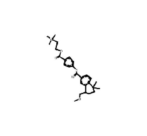 COCC1CCC(C)(C)c2ccc(C(=O)Oc3ccc(C(=O)OCC[Si](C)(C)C)cc3)cc21